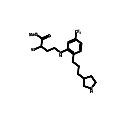 CCC(CCNc1cc(C(F)(F)F)ccc1CCCC1CCNC1)C(=O)OC